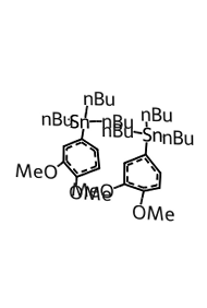 CCC[CH2][Sn]([CH2]CCC)([CH2]CCC)[c]1ccc(OC)c(OC)c1.CCC[CH2][Sn]([CH2]CCC)([CH2]CCC)[c]1ccc(OC)c(OC)c1